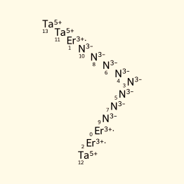 [Er+3].[Er+3].[Er+3].[N-3].[N-3].[N-3].[N-3].[N-3].[N-3].[N-3].[N-3].[Ta+5].[Ta+5].[Ta+5]